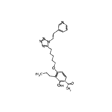 CCCc1c(OCCCCCc2nnnn2CCc2cccnc2)ccc(C(C)=O)c1O